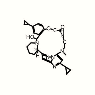 CN1CCNC(=O)COc2ccc(C3CC3)cc2C(O)N2CCCC[C@H]2c2cc3nc(C4CC4)cc1n3n2